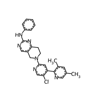 Cc1cnc(-c2cc(N3CCc4nc(Nc5ccccc5)ncc4C3)ncc2Cl)c(C)c1